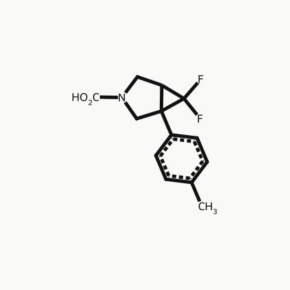 Cc1ccc(C23CN(C(=O)O)CC2C3(F)F)cc1